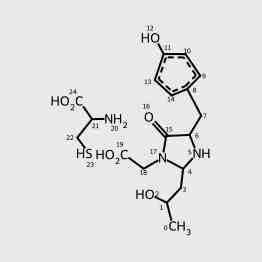 CC(O)CC1NC(Cc2ccc(O)cc2)C(=O)N1CC(=O)O.NC(CS)C(=O)O